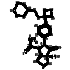 NC(=O)C1N(c2ccc(C3(CCN4CCOCC4)CCC3)cc2)C(=O)[C@@H]2[CH]CCN12